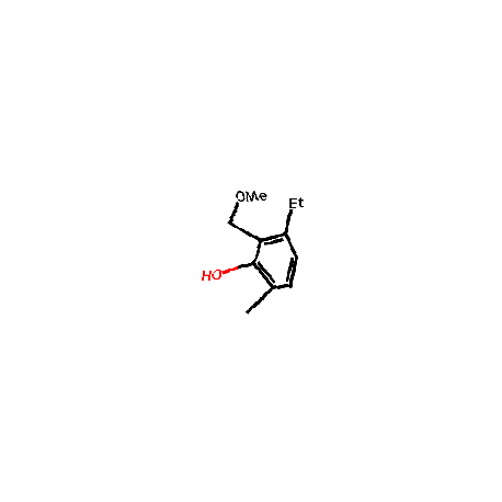 CCc1ccc(C)c(O)c1COC